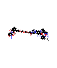 Cc1ccc(NC(=O)c2ccc(CN3CCN(C(=O)CCOCCOCCOCCCc4cccc5c4C(=O)N(C4CCC(=O)NC4=O)C5=O)CC3)cc2)cc1Nc1nccc(-c2cccnc2)n1